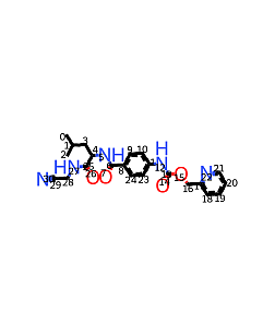 CC(C)CC(NC(=O)c1ccc(NC(=O)OCc2ccccn2)cc1)C(=O)NCC#N